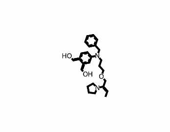 CC=C(COCCCN(Cc1ccccc1)c1ccc(=CO)c(=CO)c1)N1CCCC1